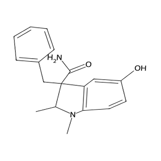 CC1N(C)c2ccc(O)cc2C1(Cc1ccccc1)C(N)=O